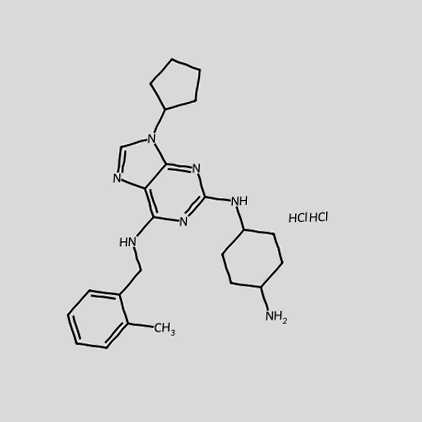 Cc1ccccc1CNc1nc(NC2CCC(N)CC2)nc2c1ncn2C1CCCC1.Cl.Cl